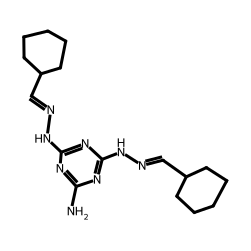 Nc1nc(NN=CC2CCCCC2)nc(NN=CC2CCCCC2)n1